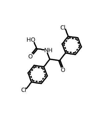 O=C(O)NC(C(=O)c1cccc(Cl)c1)c1ccc(Cl)cc1